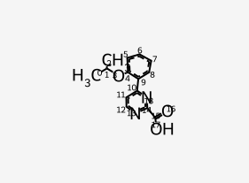 CC(C)Oc1ccccc1-c1ccnc(C(=O)O)n1